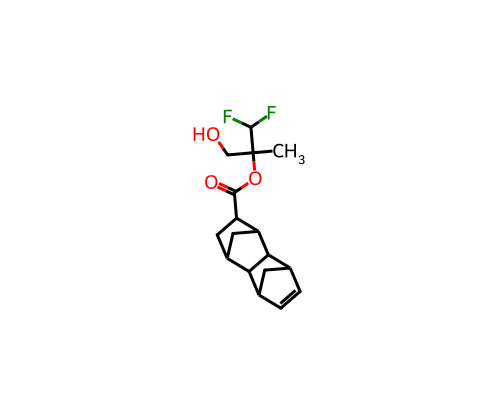 CC(CO)(OC(=O)C1CC2CC1C1C3C=CC(C3)C21)C(F)F